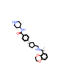 C[C@@H](NCC1CC[C@H](c2ccc(C(=O)NC3CCNCC3)cc2)C1)c1cccc2c1OCCO2